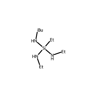 CCN[Si](CC)(NCC)NC(C)CC